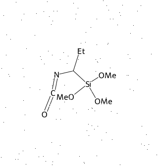 CCC(N=C=O)[Si](OC)(OC)OC